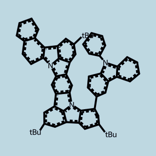 CC(C)(C)c1cc(-c2ccc3c(c2)c2ccccc2n3-c2ccccc2)c2c(c1)c1cc(C(C)(C)C)cc3c4cc5c(cc4n2c31)c1cc(C(C)(C)C)cc2c3c4ccccc4ccc3n5c12